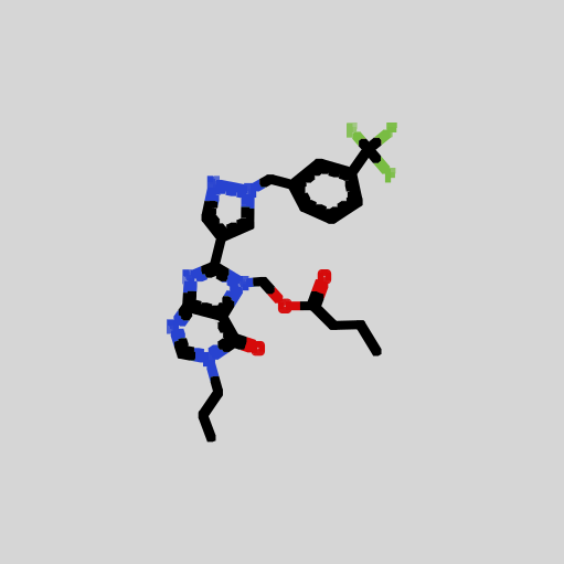 CCCC(=O)OCn1c(-c2cnn(Cc3cccc(C(F)(F)F)c3)c2)nc2ncn(CCC)c(=O)c21